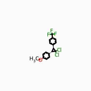 COc1ccc([C@@H]2[C@@H](c3ccc(C(F)(F)F)cc3)C2(Cl)Cl)cc1